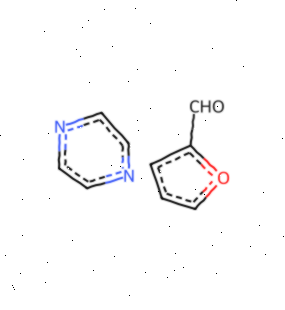 O=Cc1ccco1.c1cnccn1